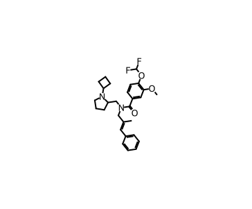 COc1cc(C(=O)N(C/C(C)=C/c2ccccc2)CC2CCCN2C2CCC2)ccc1OC(F)F